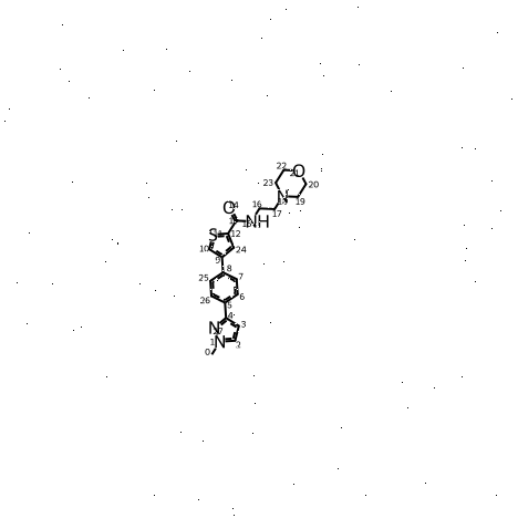 Cn1ccc(-c2ccc(-c3csc(C(=O)NCCN4CCOCC4)c3)cc2)n1